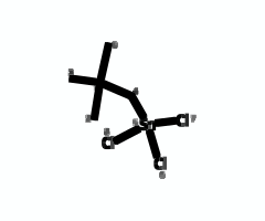 CC(C)(C)[CH2][Sn]([Cl])([Cl])[Cl]